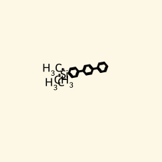 CC[Si](CC)(CC)c1ccc(-c2ccc(-c3ccccc3)cc2)cc1